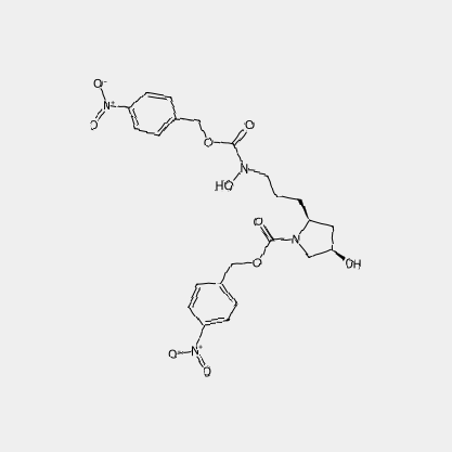 O=C(OCc1ccc([N+](=O)[O-])cc1)N(O)CCC[C@H]1C[C@@H](O)CN1C(=O)OCc1ccc([N+](=O)[O-])cc1